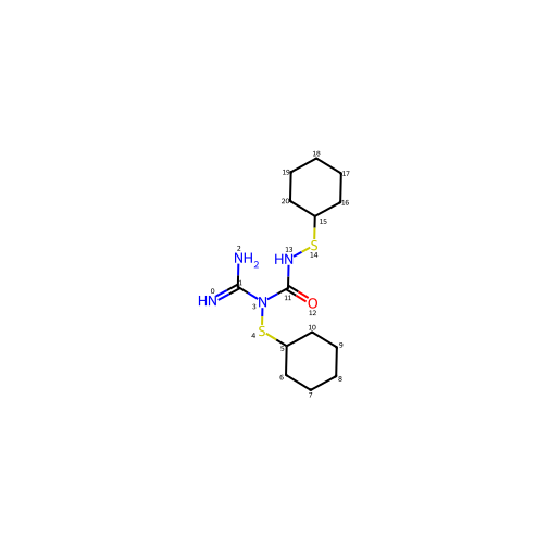 N=C(N)N(SC1CCCCC1)C(=O)NSC1CCCCC1